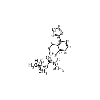 CN(C[C@@H]1OCCc2c(-c3cocn3)cccc21)C(=O)OC(C)(C)C